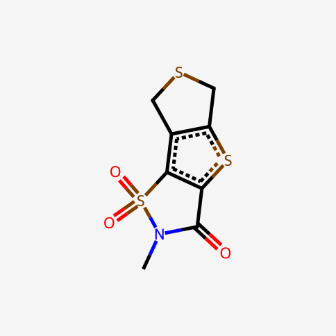 CN1C(=O)c2sc3c(c2S1(=O)=O)CSC3